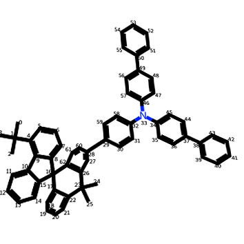 CC(C)(C)c1cccc2c1-c1ccccc1C21c2ccccc2C(C)(C)c2cc(-c3ccc(N(c4ccc(-c5ccccc5)cc4)c4ccc(-c5ccccc5)cc4)cc3)ccc21